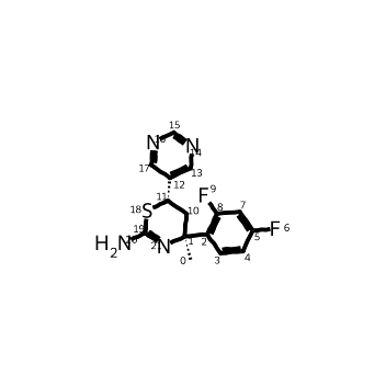 C[C@@]1(c2ccc(F)cc2F)C[C@@H](c2cncnc2)SC(N)=N1